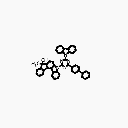 CC1(C)c2ccccc2-c2c1ccc1c2c2ccccc2n1-c1nc(-c2ccc(-c3ccccc3)cc2)nc(-n2c3ccccc3c3ccccc32)n1